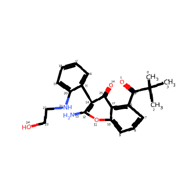 CC(C)(C)C(=O)c1cccc2oc(N)c(-c3ccccc3NCCO)c(=O)c12